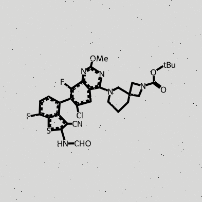 COc1nc(N2CCCC3(CN(C(=O)OC(C)(C)C)C3)C2)c2cc(Cl)c(-c3ccc(F)c4sc(NC=O)c(C#N)c34)c(F)c2n1